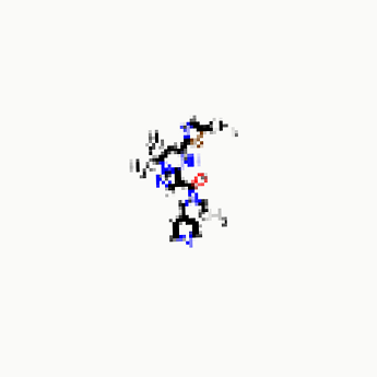 CCN(Cc1ccncc1)C(=O)c1cnn2c1NC(c1ncc(C)s1)CC2(C)C